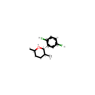 CCC1CCC(C)O[C@@H]1c1cc(F)ccc1F